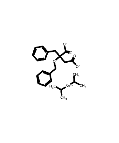 C[CH](C)[Sn+2][CH](C)C.O=C([O-])CC(Cc1ccccc1)(OCc1ccccc1)C(=O)[O-]